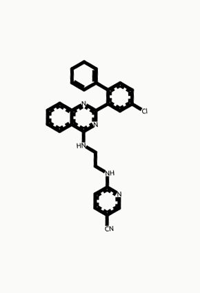 N#Cc1ccc(NCCNc2nc(-c3cc(Cl)ccc3C3=CCCC=C3)nc3ccccc23)nc1